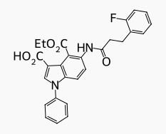 CCOC(=O)c1c(NC(=O)CCc2ccccc2F)ccc2c1c(C(=O)O)cn2-c1ccccc1